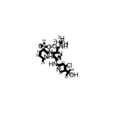 [2H]C([2H])([2H])NC(=O)c1nnc(Nc2cc(Cl)c(C(C)(C)O)cn2)cc1Nc1nc(C)ccc1S(C)(=O)=O